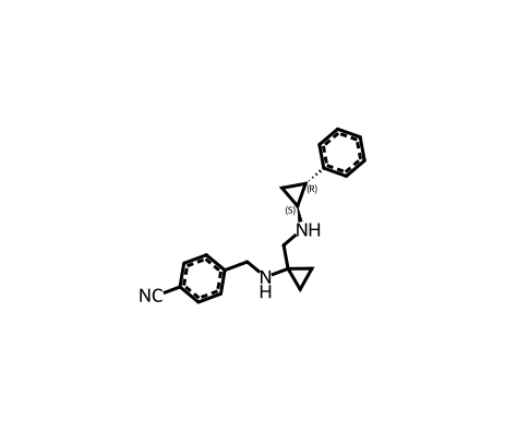 N#Cc1ccc(CNC2(CN[C@H]3C[C@@H]3c3ccccc3)CC2)cc1